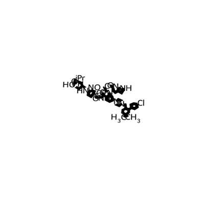 CC(C)O[PH]1(O)CCC(CNc2ccc(S(=O)(=O)NC(=O)c3ccc(N4CCN(CC5=C(c6ccc(Cl)cc6)CC(C)(C)CC5)CC4)cc3N3CCCOc4nc5[nH]ccc5cc43)cc2[N+](=O)[O-])CC1